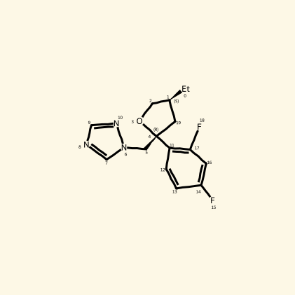 CC[C@@H]1CO[C@@](Cn2cncn2)(c2ccc(F)cc2F)C1